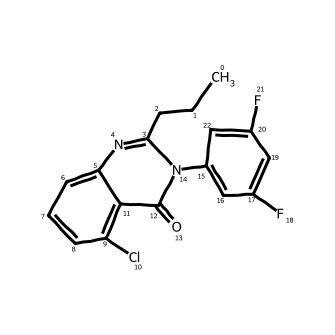 CCCc1nc2cccc(Cl)c2c(=O)n1-c1cc(F)cc(F)c1